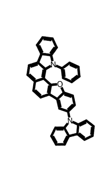 c1ccc(-n2c3ccccc3c3ccc4ccc5c6cc(-n7c8ccccc8c8ccccc87)ccc6oc5c4c32)cc1